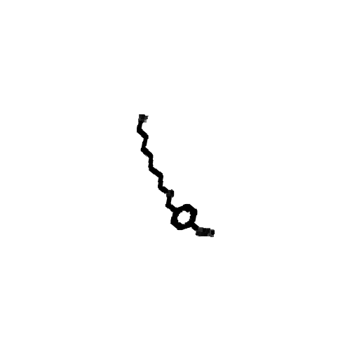 COc1ccc(COCCCCCCCBr)cc1